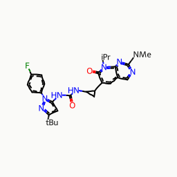 CNc1ncc2cc(C3CC3NC(=O)Nc3cc(C(C)(C)C)nn3-c3ccc(F)cc3)c(=O)n(C(C)C)c2n1